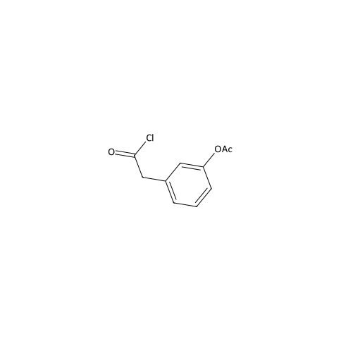 CC(=O)Oc1cccc(CC(=O)Cl)c1